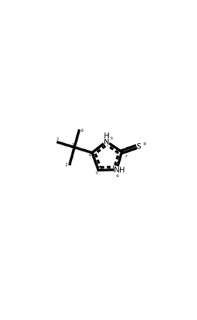 CC(C)(C)c1c[nH]c(=S)[nH]1